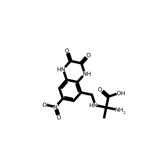 CC(N)(NCc1cc([N+](=O)[O-])cc2[nH]c(=O)c(=O)[nH]c12)C(=O)O